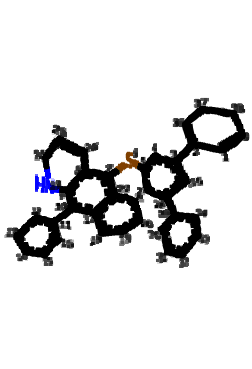 C1=CC(c2cc(Sc3c4c(c(-c5ccccc5)c5ccccc35)NCC=C4)cc(-c3ccccc3)c2)=CCC1